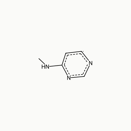 CNc1c[c]ncn1